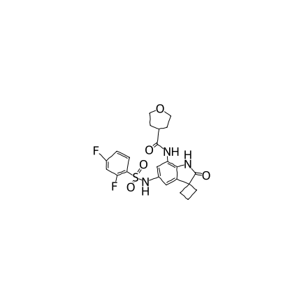 O=C(Nc1cc(NS(=O)(=O)c2ccc(F)cc2F)cc2c1NC(=O)C21CCC1)C1CCOCC1